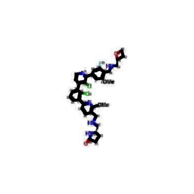 COc1cc(-c2nccc(-c3cccc(-c4ccc(CNC[C@@H]5CCC(=O)N5)c(OC)n4)c3Cl)c2Cl)cc(F)c1CNC[C@@H]1CCO1